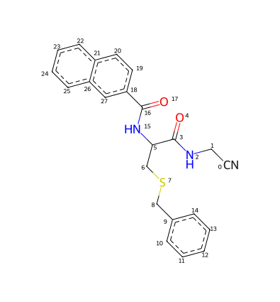 N#CCNC(=O)C(CSCc1ccccc1)NC(=O)c1ccc2ccccc2c1